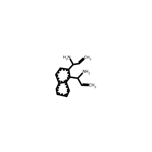 C=CC(N)c1ccc2ccccc2c1C(N)C=C